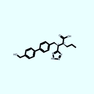 CCC[C@H](C(=O)O)[C@H](Cc1ccc(-c2ccc(CO)cc2)cc1)c1nn[nH]n1